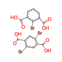 O=C(O)c1cc(Br)c(C(=O)O)cc1Br.O=C(O)c1cccc(C(=O)O)c1Br